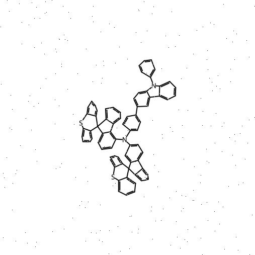 c1ccc(-n2c3ccccc3c3cc(-c4ccc(N(c5ccc6c(c5)C5(c7ccccc7Sc7ccccc75)c5ccccc5-6)c5cccc6c5-c5ccccc5C65c6ccccc6Sc6ccccc65)cc4)ccc32)cc1